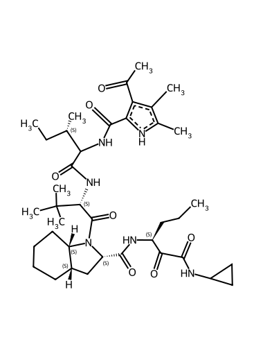 CCC[C@H](NC(=O)[C@@H]1C[C@@H]2CCCC[C@@H]2N1C(=O)[C@@H](NC(=O)C(NC(=O)c1[nH]c(C)c(C)c1C(C)=O)[C@@H](C)CC)C(C)(C)C)C(=O)C(=O)NC1CC1